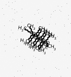 C=C(C)C(=O)O[Si](CCCCCC)(CCCCCC)O[Si](CCCCCC)(CCCCCC)O[Si](CCCCCC)(CCCCCC)O[Si](CCCCCC)(CCCCCC)O[Si](CCCCCC)(CCCCCC)O[Si](CCCCCC)(CCCCCC)CCCCCC